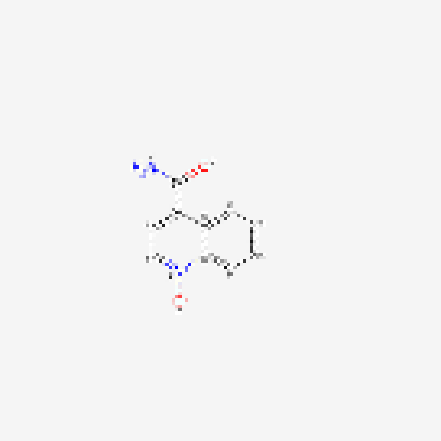 NC(=O)c1cc[n+]([O-])c2ccccc12